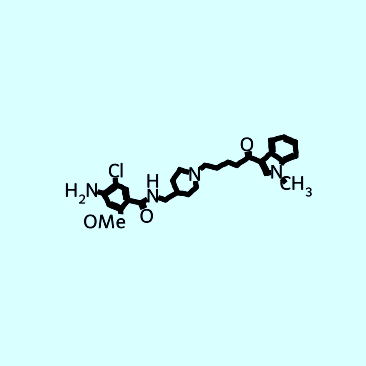 COc1cc(N)c(Cl)cc1C(=O)NCC1CCN(CCCCC(=O)c2cn(C)c3ccccc23)CC1